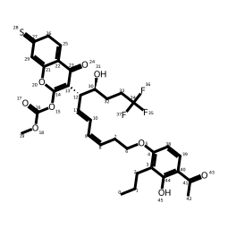 CCCc1c(OCC/C=C\C=C\[C@H](c2c(OC(=O)OC)oc3c(c2=O)=CCC(=S)C=3)[C@@H](O)CCC(F)(F)F)ccc(C(C)=O)c1O